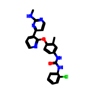 CNc1nccc(-c2cccnc2Oc2ccc(NC(=O)Nc3ccccc3Cl)cc2C)n1